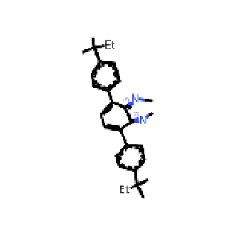 CCC(C)(C)c1ccc(C2=CC=C(c3ccc(C(C)(C)CC)cc3)C(=N/C)/C2=N\C)cc1